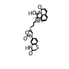 C[C@@]1(NCCC[C@@H]2CN(c3ccc4c(c3)NC(=O)CS4)C(=O)O2)c2cccc3ccc(=O)n(c23)[C@@H]1O